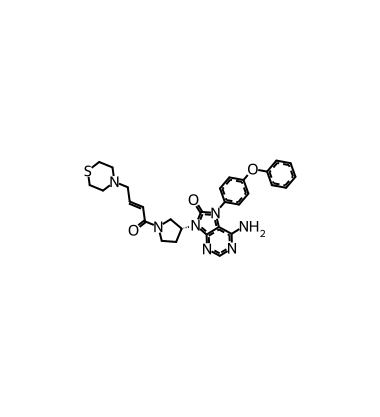 Nc1ncnc2c1n(-c1ccc(Oc3ccccc3)cc1)c(=O)n2[C@@H]1CCN(C(=O)/C=C/CN2CCSCC2)C1